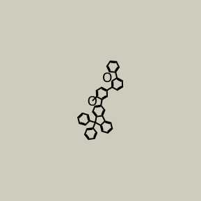 c1ccc(C2(c3ccccc3)c3ccccc3-c3cc4c(cc32)oc2ccc(-c3cccc5c3oc3ccccc35)cc24)cc1